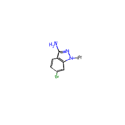 CC(C)n1nc(N)c2ccc(Br)cc21